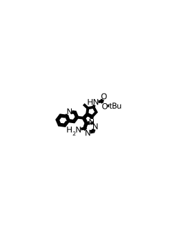 CC1c2c(-c3cnc4ccccc4c3)c3c(N)ncnn3c2CC1NC(=O)OC(C)(C)C